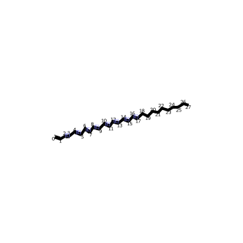 [CH]=C/C=C/C=C/C=C/C=C/C=C/C=C/C=C/C=C/CCCCCCCCCC